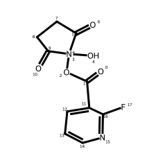 O=C(O[N+]1(O)C(=O)CCC1=O)c1cccnc1F